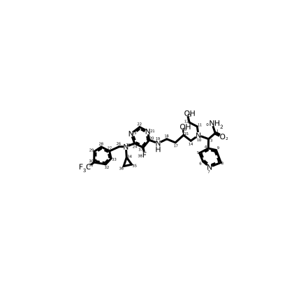 NC(=O)C(c1ccncc1)N(CCO)C[C@H](O)CCNc1ncnc(N(Cc2ccc(C(F)(F)F)cc2)C2CC2)c1F